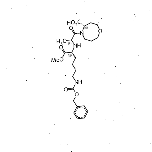 COC(=O)[C@H](CCCCNC(=O)OCc1ccccc1)N[C@H](C)C(=O)N1CCCOCC[C@H]1C(=O)O